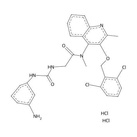 Cc1nc2ccccc2c(N(C)C(=O)CNC(=O)Nc2cccc(N)c2)c1OCc1c(Cl)cccc1Cl.Cl.Cl